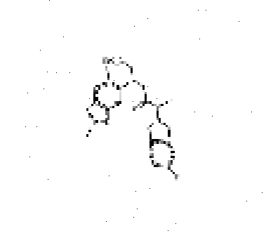 CCOC(=O)CN(CC(=O)N(C)N1Cc2ccc(F)cc2C1)c1cc2nn(C)cc2cc1C